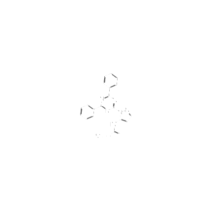 COC(=O)Nc1ccnn1-c1nc(-c2ccccc2)nc(-c2ccccc2)n1